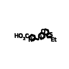 CCc1cc2c(s1)CCOC21CCN(Cc2ccc(C(=O)O)nc2)CC1